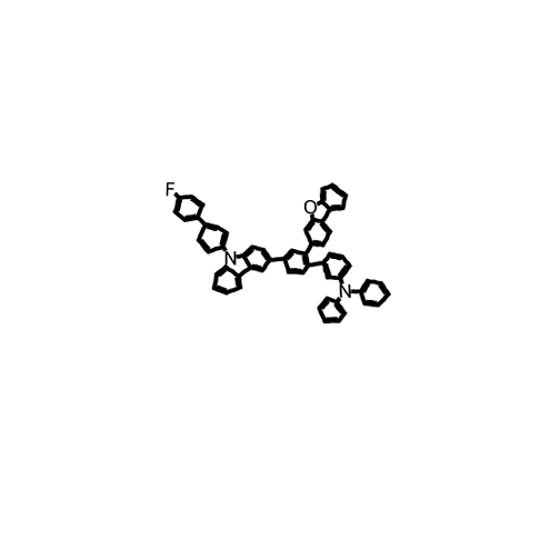 Fc1ccc(-c2ccc(-n3c4ccccc4c4cc(-c5ccc(-c6cccc(N(c7ccccc7)c7ccccc7)c6)c(-c6ccc7c(c6)oc6ccccc67)c5)ccc43)cc2)cc1